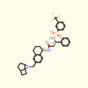 O=C(C[C@@H](NS(=O)(=O)c1cccc(C(F)(F)F)c1)c1ccccc1)N[C@@H]1CCCc2cc(CN3C4CCC5CCC543)ccc21